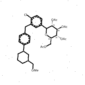 COCC1CCCC(c2ccc(Cc3cc(C4O[C@H](COC(C)=O)[C@@H](OC(C)=O)[C@H](OC(C)=O)[C@H]4OC(C)=O)ccc3Cl)cc2)C1